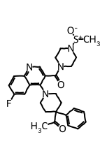 CC(=O)C1(c2ccccc2)CCN(c2c(C(=O)N3CCN([S+](C)[O-])CC3)cnc3ccc(F)cc23)CC1